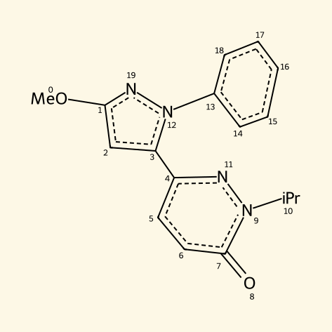 COc1cc(-c2ccc(=O)n(C(C)C)n2)n(-c2ccccc2)n1